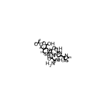 CC(=O)OCC1=C(C(=O)O)N2C(=O)C(N(C(=O)C(=N)N)N3CC(c4cscn4)NC3=O)[C@@H]2SC1